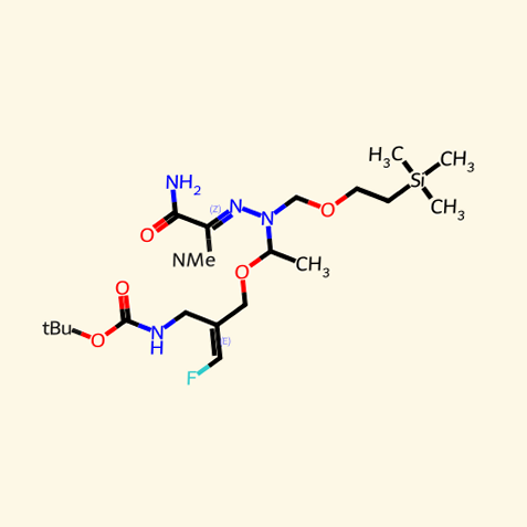 CN/C(=N\N(COCC[Si](C)(C)C)C(C)OC/C(=C/F)CNC(=O)OC(C)(C)C)C(N)=O